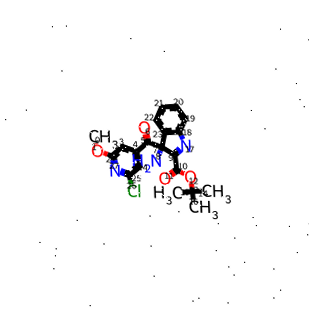 COc1cc(C(=O)C2(N)C(C(=O)OC(C)(C)C)=Nc3ccccc32)cc(Cl)n1